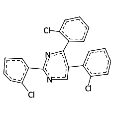 Clc1ccccc1-c1ncc(-c2ccccc2Cl)c(-c2ccccc2Cl)n1